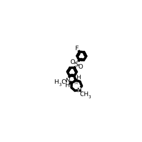 CN1CC[C@H]2c3cc(S(=O)(=O)c4cccc(F)c4)ccc3N(C)[C@H]2CC1